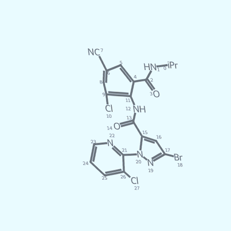 CC(C)NC(=O)c1cc(C#N)cc(Cl)c1NC(=O)c1cc(Br)nn1-c1ncccc1Cl